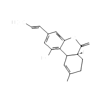 C=C1Oc2cc(/C=C/C(=O)O)cc(O)c2C2C=C(C)CC[C@@H]12